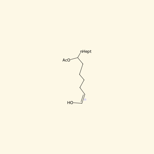 CCCCCCCC(CCCC/C=C\O)OC(C)=O